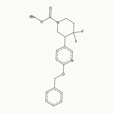 CC(C)(C)OC(=O)N1CCC(F)(F)C(c2ccc(OCc3ccccc3)nc2)C1